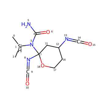 C[SiH](C)N(C(N)=O)C1(N=C=O)CC(N=C=O)CCO1